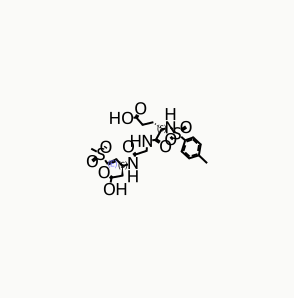 Cc1ccc(S(=O)(=O)N[C@@H](CCC(=O)O)C(=O)NCC(=O)N[C@H](/C=C/S(C)(=O)=O)CC(=O)O)cc1